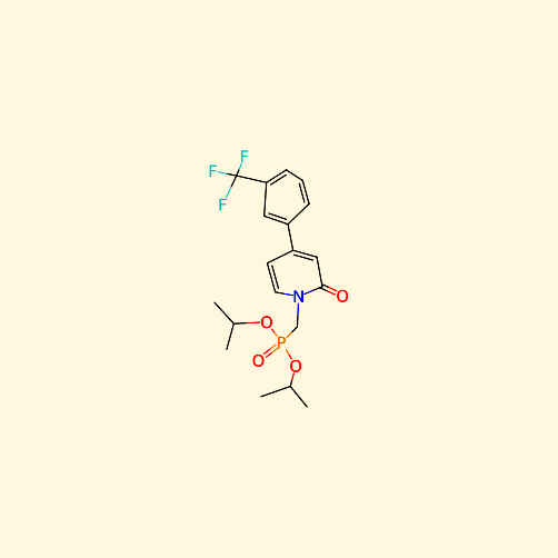 CC(C)OP(=O)(Cn1ccc(-c2cccc(C(F)(F)F)c2)cc1=O)OC(C)C